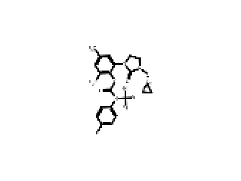 [2H]C([2H])([2H])N(C(=O)Oc1c(N2CCN(C[C@@H]3CO3)C2=O)cc(C(F)(F)F)cc1C(F)(F)F)c1ccc(F)cc1